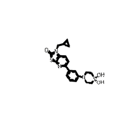 O=c1sc2nc(-c3cccc(N4CCS(O)(O)CC4)c3)ccc2n1CC1CC1